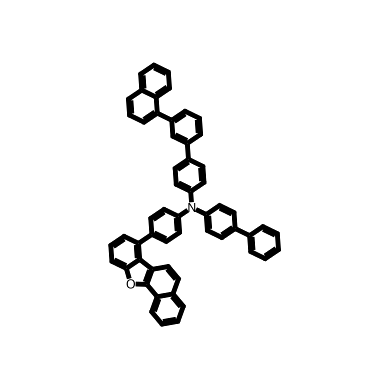 c1ccc(-c2ccc(N(c3ccc(-c4cccc(-c5cccc6ccccc56)c4)cc3)c3ccc(-c4cccc5oc6c7ccccc7ccc6c45)cc3)cc2)cc1